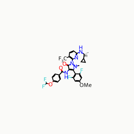 COc1cc(F)c(-c2c(NC(=O)c3ccc(OC(F)F)cc3)c(=O)n(-c3nc(N[C@H](C)C4CC4)ccc3C(F)(F)F)n2C)c(F)c1